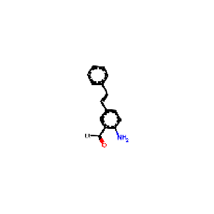 CCC(=O)c1cc(/C=C/c2ccccc2)ccc1N